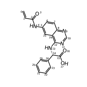 C=CC(=O)Nc1ccc2ncnc(N[C@H](C(=O)O)c3ccccc3)c2c1